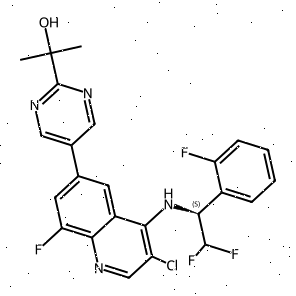 CC(C)(O)c1ncc(-c2cc(F)c3ncc(Cl)c(N[C@@H](c4ccccc4F)C(F)F)c3c2)cn1